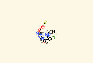 CC(C)=NN(N)Cc1cc(Cl)ccc1/C=C/C(=O)N1CCN(Cc2ccc(OCCOCCSF)cn2)C[C@H]1C